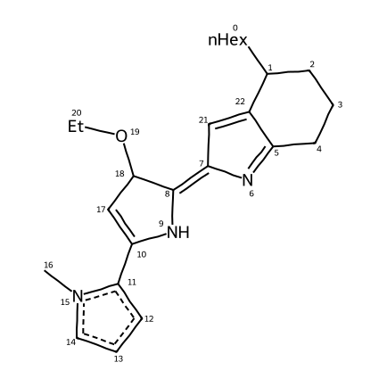 CCCCCCC1CCCC2=NC(=C3NC(c4cccn4C)=CC3OCC)C=C21